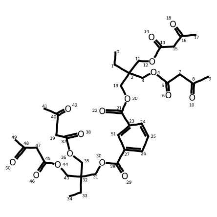 CCC(COC(=O)CC(C)=O)(COC(=O)CC(C)=O)COC(=O)c1cccc(C(=O)OCC(CC)(COC(=O)CC(C)=O)COC(=O)CC(C)=O)c1